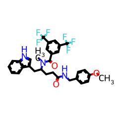 COc1ccc(CNC(=O)CCC(Cc2c[nH]c3ccccc23)N(C)C(=O)c2cc(C(F)(F)F)cc(C(F)(F)F)c2)cc1